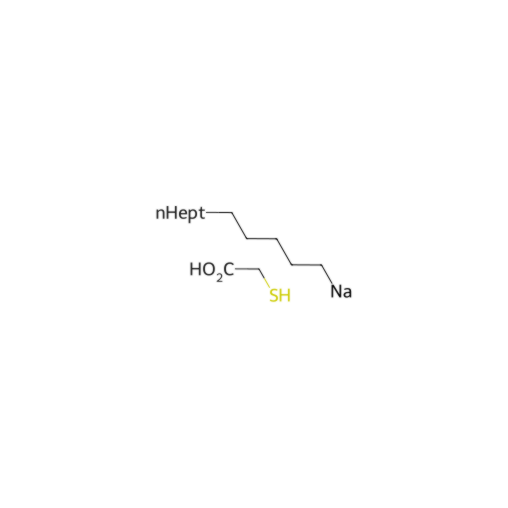 CCCCCCCCCCC[CH2][Na].O=C(O)CS